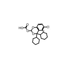 O=C(O)OC1Oc2ccc(Cl)c(F)c2C(C2CCCCC2)(C2CCCCC2)O1